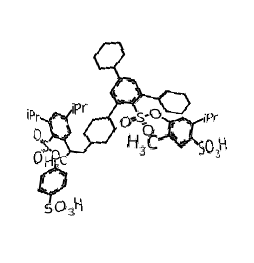 Cc1cc(S(=O)(=O)O)c(C(C)C)cc1OS(=O)(=O)c1c(C2CCCCC2)cc(C2CCCCC2)cc1C1CCC(CC(C)c2cc(C(C)C)cc(C(C)C)c2S(=O)(=O)Oc2ccc(S(=O)(=O)O)cc2)CC1